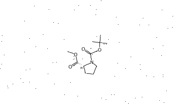 COC(=O)[C@H]1CCCN1C(=O)OC(C)(C)C